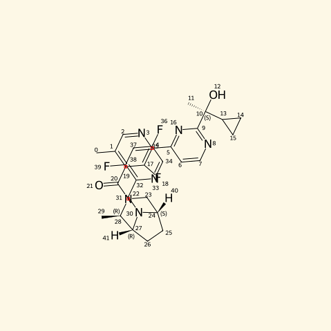 Cc1cnc(-c2ccnc([C@@](C)(O)C3CC3)n2)c(F)c1C(=O)N1C[C@@H]2CC[C@H]([C@H]1C)N2Cc1ncc(F)cc1F